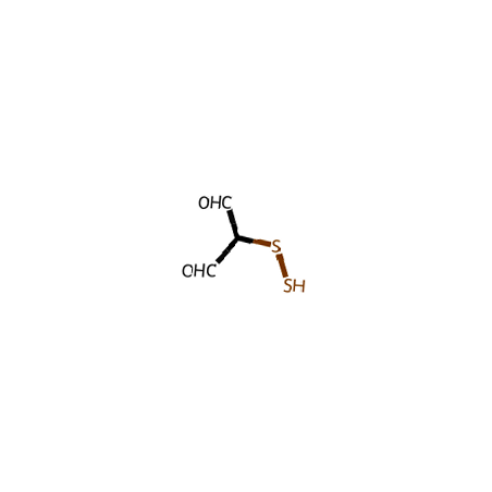 O=CC(C=O)SS